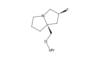 CCCOC[C@@]12CCCN1C[C@@H](F)C2